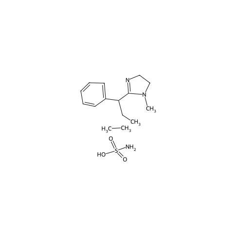 CC.CCC(C1=NCCN1C)c1ccccc1.NS(=O)(=O)O